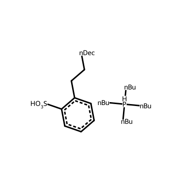 CCCCCCCCCCCCc1ccccc1S(=O)(=O)O.CCCC[PH](CCCC)(CCCC)CCCC